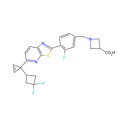 O=C(O)C1CN(Cc2ccc(-c3nc4ccc(C5(C6CC(F)(F)C6)C=C5)nc4s3)c(F)c2)C1